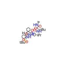 CCCC[C@H](NC(=O)[C@@H]1C(C(C)C)CCN1C(=O)[C@@H](NC(=O)NC1(CS(=O)(=O)C(C)(C)C)CCCCC1)C1(C)CCCCC1)C(=O)C(=O)NC1CC1